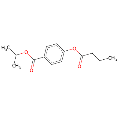 CC[CH]C(=O)Oc1ccc(C(=O)OC(C)C)cc1